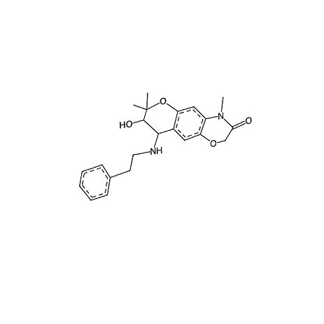 CN1C(=O)COc2cc3c(cc21)OC(C)(C)C(O)C3NCCc1ccccc1